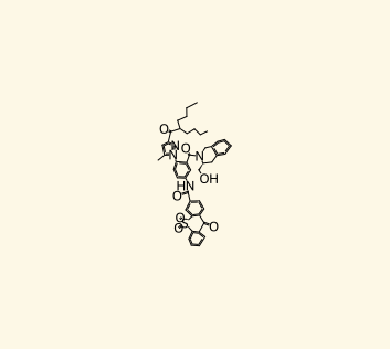 CCCCC(CCCC)C(=O)c1cc(C)n(-c2ccc(NC(=O)c3ccc4c(c3)S(=O)(=O)c3ccccc3C4=O)cc2C(=O)N2Cc3ccccc3C[C@H]2CO)n1